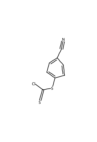 N#Cc1ccc(SC(=S)Cl)cc1